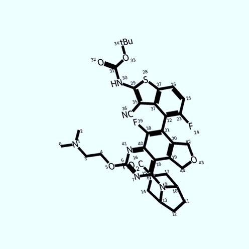 CN(C)CCOc1nc(N2C3CCC2CN(C(=O)O)C3)c2c3c(c(-c4c(F)ccc5sc(NC(=O)OC(C)(C)C)c(C#N)c45)c(F)c2n1)COC3